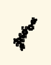 CC(C)n1cc(C(=O)Nc2ccc(Oc3ccnc(-c4cnn(C)c4)c3)c(F)c2)c(=O)n(-c2cnn(C)c2)c1=O